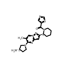 Cc1cn2nc([C@@H]3CCCCN3C(=O)c3cncs3)cc2nc1N1CC[C@H](N)C1